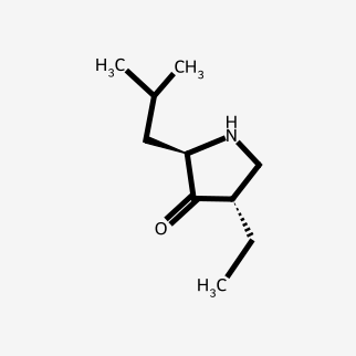 CC[C@H]1CN[C@H](CC(C)C)C1=O